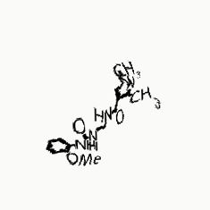 COc1ccccc1NC(=O)NCCNC(=O)c1cn(C)nc1C